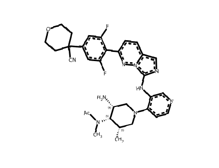 CC(=O)N(C)[C@@H]1[C@H](N)CN(c2ccncc2Nc2ncc3ccc(-c4c(F)cc(C5(C#N)CCOCC5)cc4F)nn23)C[C@@H]1C